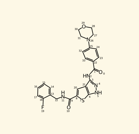 O=C(Nc1n[nH]c2sc(C(=O)NCc3ccccc3F)cc12)c1ccc(N2CCOCC2)cc1